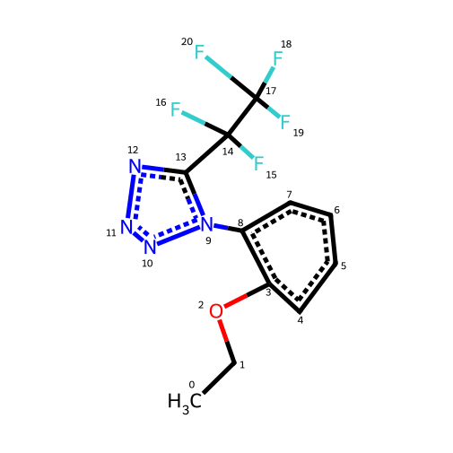 CCOc1ccccc1-n1nnnc1C(F)(F)C(F)(F)F